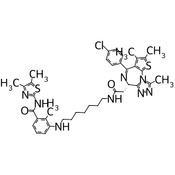 Cc1nc(NC(=O)c2cccc(NCCCCCCCNC(=O)C[C@@H]3N=C(c4ccc(Cl)cc4)c4c(sc(C)c4C)-n4c(C)nnc43)c2C)sc1C